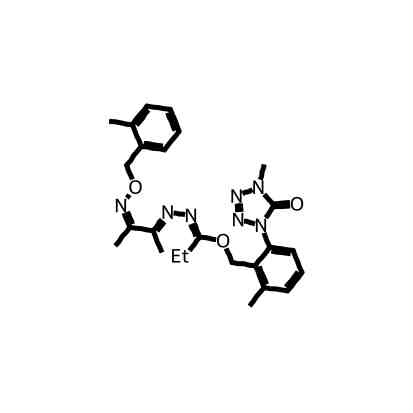 CC/C(=N\N=C(C)C(C)=NOCc1ccccc1C)OCc1c(C)cccc1-n1nnn(C)c1=O